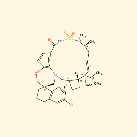 CO[C@@H](C)[C@]1(OC)/C=C/C[C@H](C)[C@@H](C)S(=O)(=O)NC(=O)c2ccc3c(c2)N(C[C@@H]2CC[C@H]21)C[C@@]1(CCCc2cc(Cl)ccc21)CO3